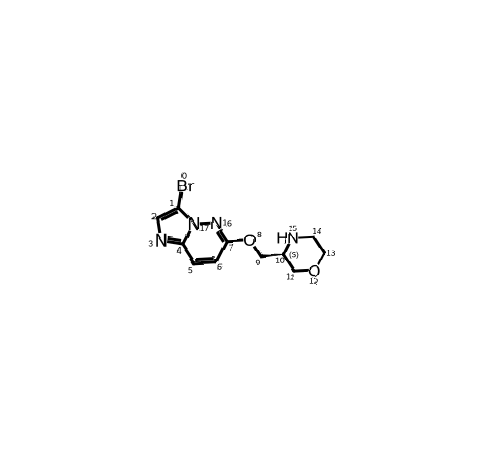 Brc1cnc2ccc(OC[C@@H]3COCCN3)nn12